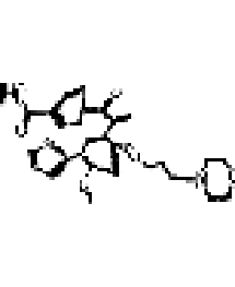 C=C(C(=O)c1ccc(C(=O)O)cc1)c1cc(-c2cccs2)c(OC)cc1OCCCN1CCOCC1